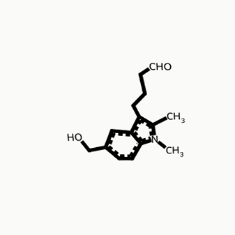 Cc1c(CCCC=O)c2cc(CO)ccc2n1C